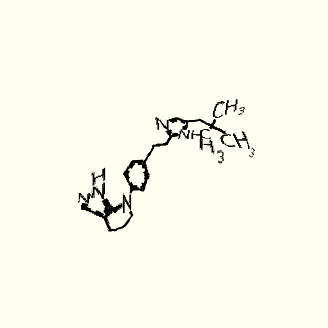 CCC(C)(C)Cc1cnc(CCc2ccc(N3CCCc4cn[nH]c43)cc2)[nH]1